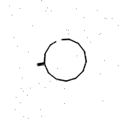 O=C1CCCCCCCCCOCC1